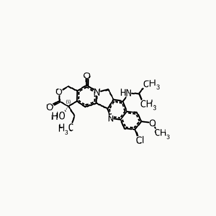 CC[C@@]1(O)C(=O)OCc2c1cc1n(c2=O)Cc2c-1nc1cc(Cl)c(OC)cc1c2NC(C)C